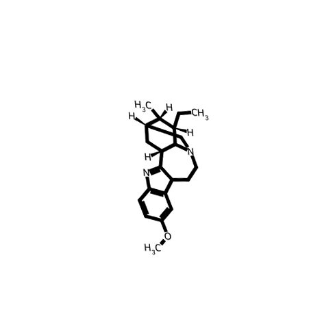 CC[C@@H]1C2[C@H]3C[C@@H](CN2CCC2C3=Nc3ccc(OC)cc32)[C@@H]1C